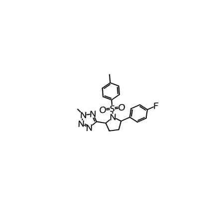 Cc1ccc(S(=O)(=O)N2C(c3ccc(F)cc3)CCC2c2nnn(C)n2)cc1